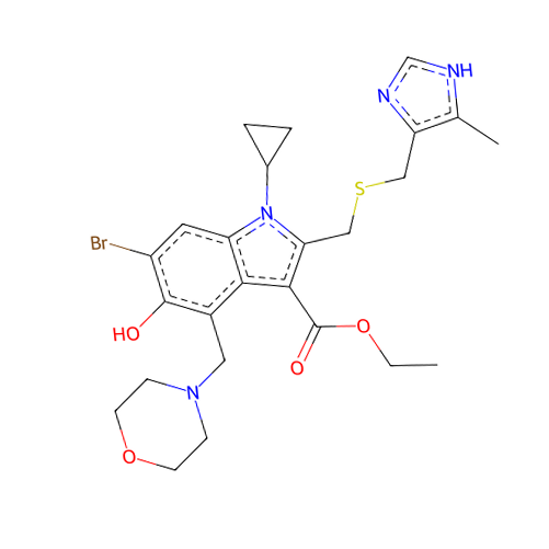 CCOC(=O)c1c(CSCc2nc[nH]c2C)n(C2CC2)c2cc(Br)c(O)c(CN3CCOCC3)c12